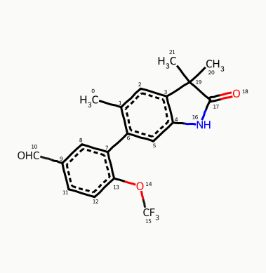 Cc1cc2c(cc1-c1cc(C=O)ccc1OC(F)(F)F)NC(=O)C2(C)C